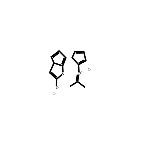 CC(C)C1=CC2C=CC=C2S1.C[C](C)=[Zr+2][C]1=CC=CC1.[Cl-].[Cl-]